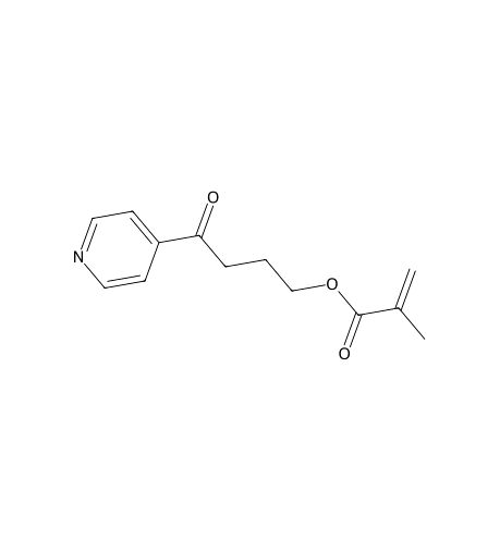 C=C(C)C(=O)OCCCC(=O)c1ccncc1